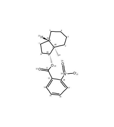 C[C@@]12CCCC[C@H]1CC[C@H]2OC(=O)c1ccccc1[N+](=O)[O-]